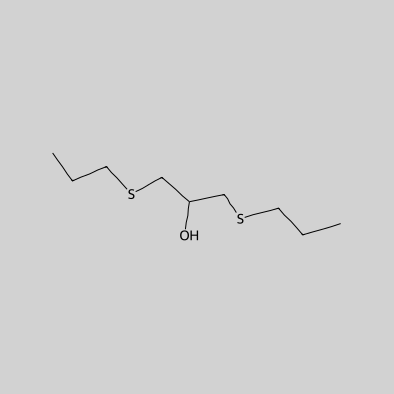 CCCSCC(O)CSCCC